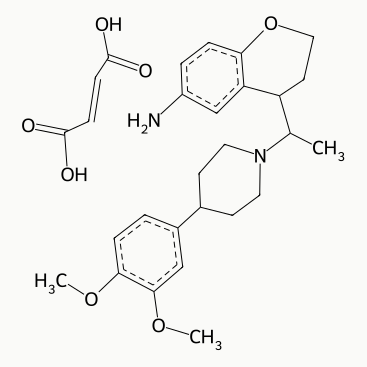 COc1ccc(C2CCN(C(C)C3CCOc4ccc(N)cc43)CC2)cc1OC.O=C(O)C=CC(=O)O